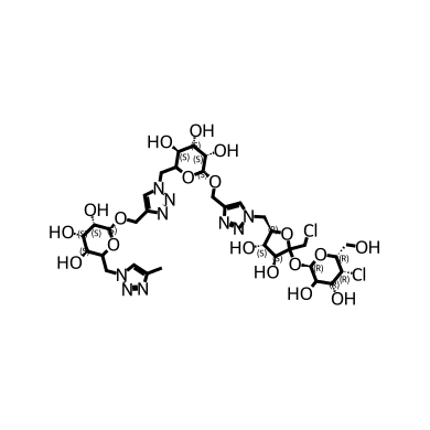 Cc1cn(CC2O[C@H](OCc3cn(CC4O[C@H](OCc5cn(C[C@H]6OC(CCl)(O[C@H]7O[C@H](CO)[C@H](Cl)[C@H](O)C7O)[C@@H](O)[C@@H]6O)nn5)[C@@H](O)[C@@H](O)[C@@H]4O)nn3)[C@@H](O)[C@@H](O)[C@@H]2O)nn1